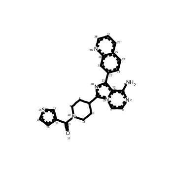 Nc1nccn2c(C3CCN(C(=O)c4ccsc4)CC3)nc(-c3ccc4cccnc4c3)c12